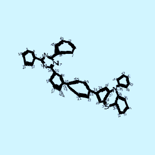 c1ccc(-c2nc(-c3ccccc3)nc(-c3cccc(-c4ccc(-c5ccc6c(c5)Sc5ccccc5N6c5ccccc5)cc4)c3)n2)cc1